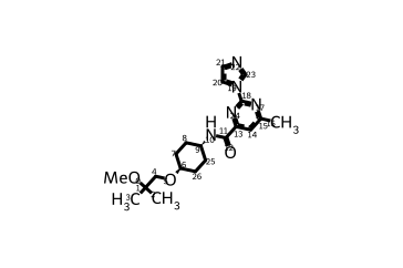 COC(C)(C)CO[C@H]1CC[C@H](NC(=O)c2cc(C)nc(-n3ccnc3)n2)CC1